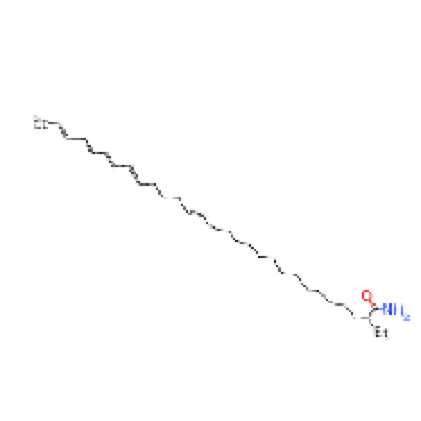 CCC=CC=CC=CC=CCCCC=CCCCCCCCCCCCCCC(CC)C(N)=O